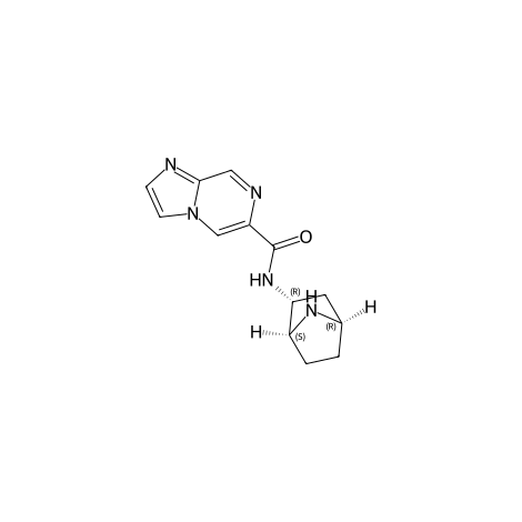 O=C(N[C@@H]1C[C@H]2CC[C@@H]1N2)c1cn2ccnc2cn1